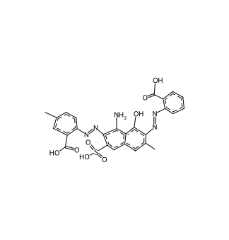 Cc1ccc(N=Nc2c(S(=O)(=O)O)cc3cc(C)c(N=Nc4ccccc4C(=O)O)c(O)c3c2N)c(C(=O)O)c1